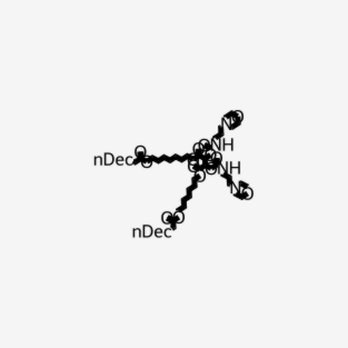 CCCCCCCCCCCC(=O)OCCCCCCCOC(=O)C(OC(=O)NCCCN1CCOCC1)C(OC(=O)NCCCN1CCOCC1)C(=O)OCCCCCCCOC(=O)CCCCCCCCCCC